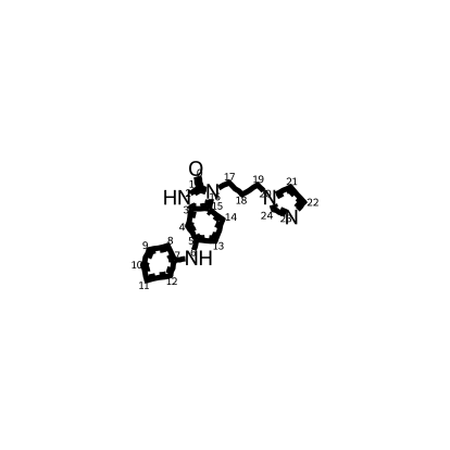 O=c1[nH]c2cc(Nc3ccccc3)ccc2n1CCCn1ccnc1